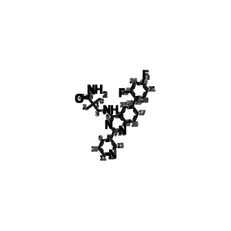 CC(C)(CNc1nc(-c2cccnc2)nc2ccc(-c3ccc(F)cc3F)cc12)C(N)=O